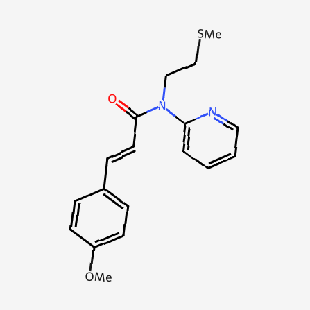 COc1ccc(/C=C/C(=O)N(CCSC)c2ccccn2)cc1